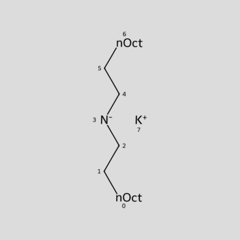 CCCCCCCCCC[N-]CCCCCCCCCC.[K+]